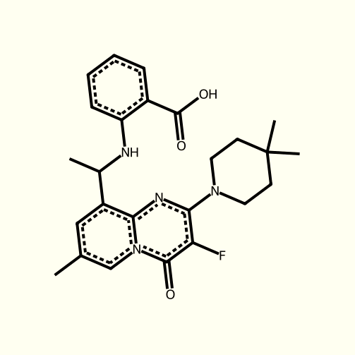 Cc1cc(C(C)Nc2ccccc2C(=O)O)c2nc(N3CCC(C)(C)CC3)c(F)c(=O)n2c1